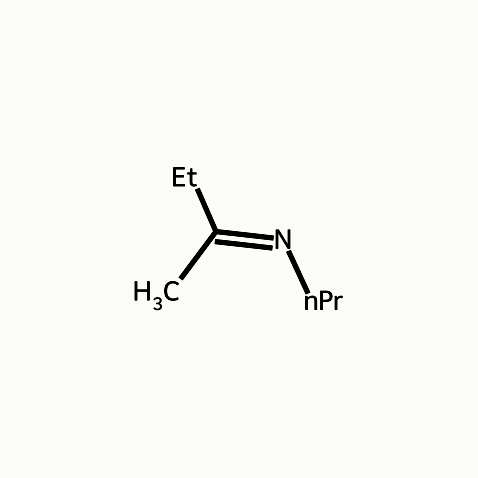 [CH2]CC(C)=NCCC